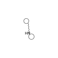 C1CCCCCC(NCCCCCCCC2CCCCCCCCCC2)CCCCC1